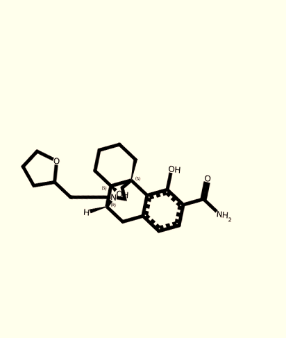 NC(=O)c1ccc2c(c1O)[C@@]13CCCC[C@@]1(O)[C@@H](C2)N(CC1CCCO1)CC3